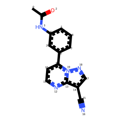 CC(=O)Nc1cccc(-c2ccnc3c(C#N)cnn23)c1